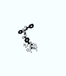 C=C(/N=C(\N=C(/N)C(Cl)(Cl)Cl)C(Cl)(Cl)Cl)c1ccc(C(=O)OCCN2/C(=C/C(=O)c3ccccc3)Sc3ccccc32)cc1